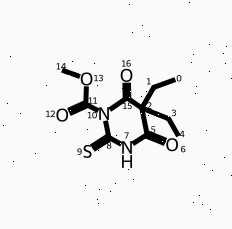 CCC1(CC)C(=O)NC(=S)N(C(=O)OC)C1=O